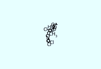 C[C@@H]1CN(c2ccc(Cl)c(Cl)c2)CCC1Cc1cc(F)c(C(=O)NS(=O)(=O)C2CC2)cc1Cl